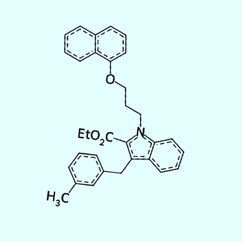 CCOC(=O)c1c(Cc2cccc(C)c2)c2ccccc2n1CCCOc1cccc2ccccc12